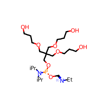 CC/N=C/OP(OCC(COCCCO)(COCCCO)COCCCO)N(C(C)C)C(C)C